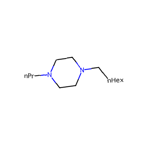 CCCCCCCN1CCN(CCC)CC1